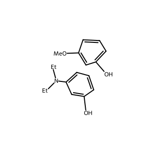 CCN(CC)c1cccc(O)c1.COc1cccc(O)c1